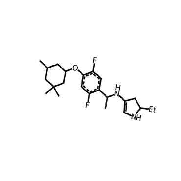 CCC1CC(NC(C)c2cc(F)c(OC3CC(C)CC(C)(C)C3)cc2F)=CN1